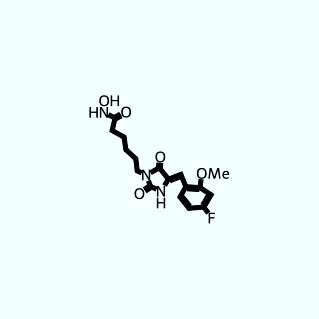 COc1cc(F)ccc1C=C1NC(=O)N(CCCCCC(=O)NO)C1=O